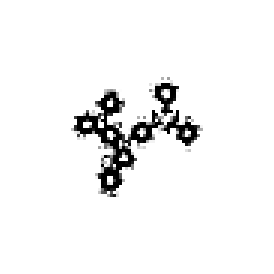 c1ccc(-c2nc(-c3ccccc3)nc(-c3ccc(-n4c5cc6c(cc5c5c7oc8ccccc8c7ccc54)c4ccccc4n6-c4ccccc4)cc3)n2)cc1